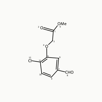 COC(=O)COc1cc(C=O)ccc1Cl